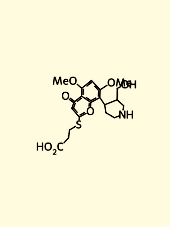 COc1cc(OC)c2c(=O)cc(SCCC(=O)O)oc2c1C1CCNCC1CO